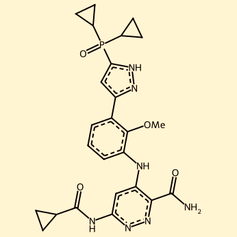 COc1c(Nc2cc(NC(=O)C3CC3)nnc2C(N)=O)cccc1-c1cc(P(=O)(C2CC2)C2CC2)[nH]n1